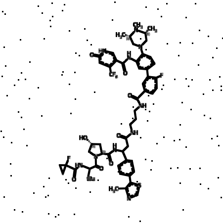 Cc1ncsc1-c1ccc(C(CC(=O)NCCCNC(=O)c2ccc(F)c(-c3ccc(N4C[C@@H](C)N(C)[C@@H](C)C4)c(NC(=O)c4c[nH]c(=O)cc4C(F)(F)F)c3)c2)NC(=O)[C@@H]2C[C@@H](O)CN2C(=O)C(NC(=O)C2(F)CC2)C(C)(C)C)cc1